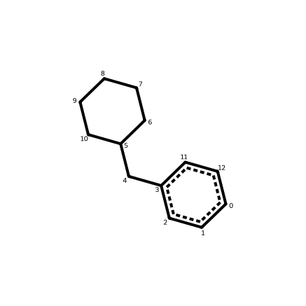 c1ccc(CC2CCCCC2)cc1